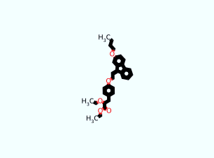 CCCCOc1ccc2c(c1)/C(=C/COc1ccc(CC(OCC)C(=O)OCC)cc1)c1ccccc1-2